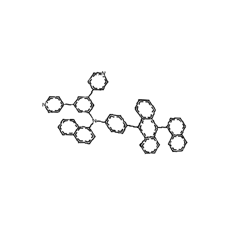 c1ccc2c(-c3c4ccccc4c(-c4ccc(N(c5cc(-c6ccncc6)cc(-c6ccncc6)c5)c5cccc6ccccc56)cc4)c4ccccc34)cccc2c1